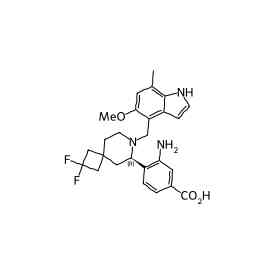 COc1cc(C)c2[nH]ccc2c1CN1CCC2(C[C@@H]1c1ccc(C(=O)O)cc1N)CC(F)(F)C2